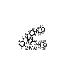 COc1cccc(CN(Cc2ccc(N3CCOCC3)cc2)c2nc(CCN3CCOCC3)cs2)c1